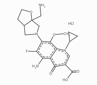 COc1c(N2CC3CCOC3(CN)C2)c(F)c(N)c2c(=O)c(C(=O)O)cn(C3CC3)c12.Cl